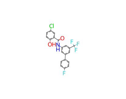 O=C(Nc1cc(-c2ccc(F)cc2)cc(C(F)(F)F)c1)c1cc(Cl)ccc1O